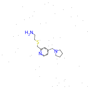 NCCSCc1cc(CN2CCCC2)ccn1